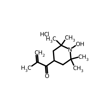 C=C(C)C(=O)C1CC(C)(C)N(O)C(C)(C)C1.Cl